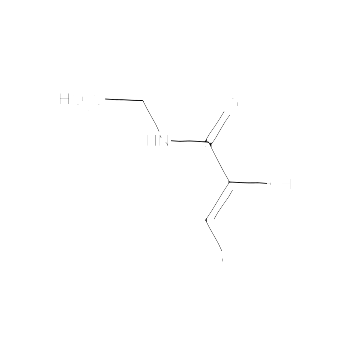 CC=C(C)C(=O)NCC(=O)O